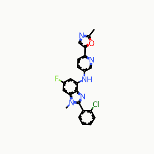 Cc1ncc(-c2ccc(Nc3cc(F)cc4c3nc(-c3ccccc3Cl)n4C)cn2)o1